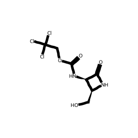 O=C(N[C@H]1C(=O)N[C@H]1CO)OCC(Cl)(Cl)Cl